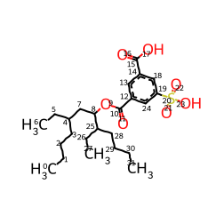 CCCCC(CC)CC(OC(=O)c1cc(C(=O)O)cc(S(=O)(=O)O)c1)C(CC)CCCC